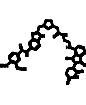 CNc1ccc(C(=O)Nc2ccc3[nH]c(CN4CCC(CC(=O)NCCNc5cccc6c5C(=O)N(C5CCC(=O)NC5=O)C6=O)C4)nc3c2)cc1C=N